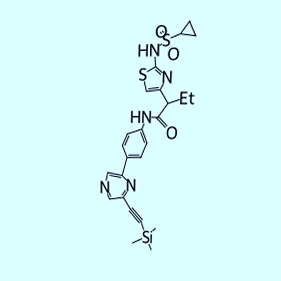 CCC(C(=O)Nc1ccc(-c2cncc(C#C[Si](C)(C)C)n2)cc1)c1csc(NS(=O)(=O)C2CC2)n1